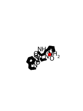 NC(=O)C1C(Cc2ccco2)N(C(N)=O)CCN1S(=O)(=O)c1cccc2cccnc12